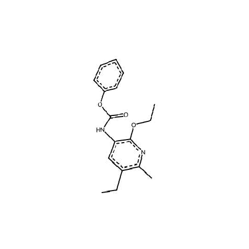 CCOc1nc(C)c(CC)cc1NC(=O)Oc1ccccc1